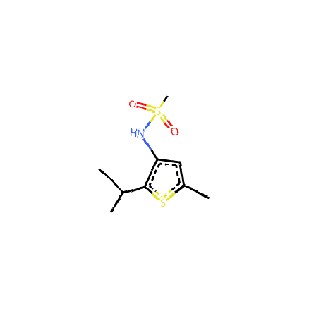 Cc1cc(NS(C)(=O)=O)c(C(C)C)s1